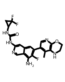 Cc1c(-c2cc3cc(NC(=O)NC4CC4(F)F)ncc3c(N)c2F)cnc2c1NCCO2